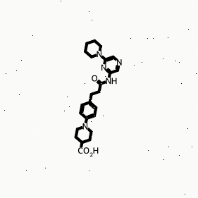 O=C(CCc1ccc(N2CCC(C(=O)O)CC2)cc1)Nc1cncc(N2CCCCC2)n1